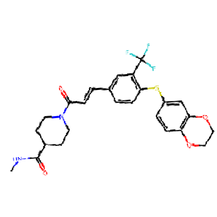 CNC(=O)C1CCN(C(=O)/C=C/c2ccc(Sc3ccc4c(c3)OCCO4)c(C(F)(F)F)c2)CC1